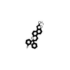 CC1Cc2c(ccc3c4c(ccc23)OC(c2ccccc2)(c2cccc(F)c2)C=C4)O1